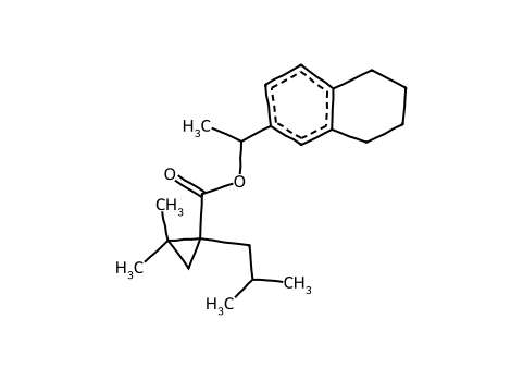 CC(C)CC1(C(=O)OC(C)c2ccc3c(c2)CCCC3)CC1(C)C